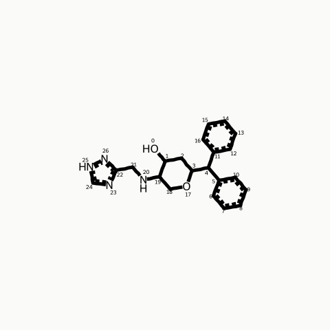 OC1CC(C(c2ccccc2)c2ccccc2)OCC1NCc1nc[nH]n1